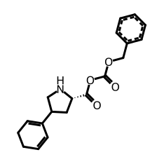 O=C(OCc1ccccc1)OC(=O)[C@@H]1CC(C2=CCCC=C2)CN1